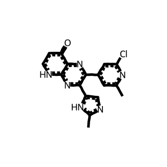 Cc1cc(-c2nc3c(=O)cc[nH]c3nc2-c2cnc(C)[nH]2)cc(Cl)n1